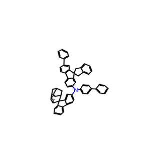 c1ccc(-c2ccc(N(c3ccc4c(c3)C3(Cc5ccccc5C3)c3cc(-c5ccccc5)ccc3-4)c3ccc4c(c3)C3(c5ccccc5-4)C4CCC5CC(C4)CC3C5)cc2)cc1